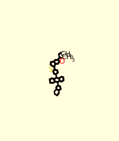 C/C=C\c1c(C)oc2cc3c(ccc4sc5cc(-c6c7ccccc7c(-c7ccc8c(c7)CCC=C8)c7ccccc67)ccc5c43)cc12